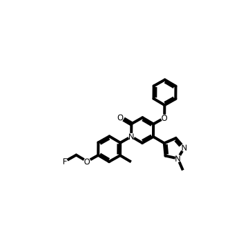 Cc1cc(OCF)ccc1-n1cc(-c2cnn(C)c2)c(Oc2ccccc2)cc1=O